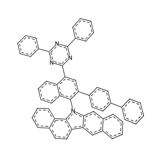 c1ccc(-c2ccc(-c3cc(-c4nc(-c5ccccc5)nc(-c5ccccc5)n4)c4ccccc4c3-n3c4cc5ccccc5cc4c4ccc5ccccc5c43)cc2)cc1